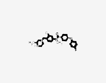 C[C@H]1CN(Cc2ccc(N(C)C(=O)[C@H]3CC[C@H](Oc4ccc(F)cc4)CC3)cc2Cl)CCN1